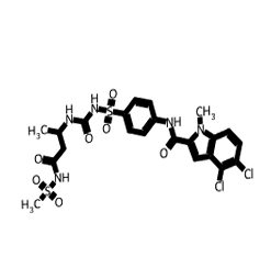 CC(CC(=O)NS(C)(=O)=O)NC(=O)NS(=O)(=O)c1ccc(NC(=O)c2cc3c(Cl)c(Cl)ccc3n2C)cc1